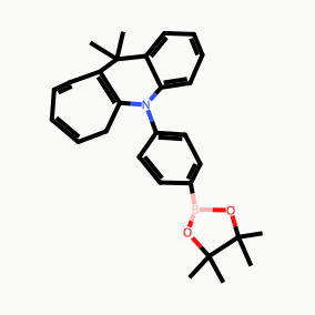 CC1(C)C2=C(CC=CC=C2)N(c2ccc(B3OC(C)(C)C(C)(C)O3)cc2)c2ccccc21